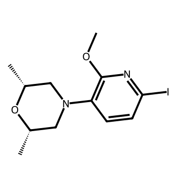 COc1nc(I)ccc1N1C[C@@H](C)O[C@@H](C)C1